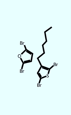 Brc1ccc(Br)o1.CCCCCCc1cc(Br)sc1Br